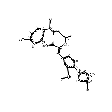 COc1cc(C=C2OC(C)CN([C@H](C)c3ccc(F)nc3)C2=O)ccc1-n1cnc(C)c1